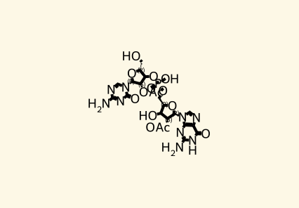 CC(=O)O[C@H]1C(OP(=O)(O)OC[C@H]2O[C@@H](n3cnc4c(=O)[nH]c(N)nc43)[C@@H](OC(C)=O)C2O)[C@@H](CO)O[C@H]1n1cnc(N)nc1=O